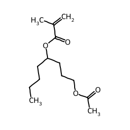 C=C(C)C(=O)OC(CCCC)CCCOC(C)=O